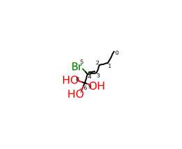 CCCC=C(Br)C(O)(O)O